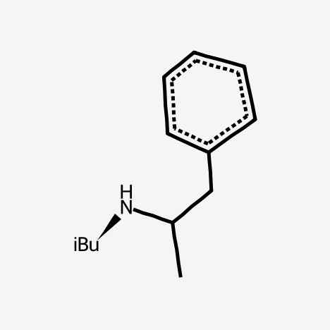 CC[C@H](C)NC(C)Cc1ccccc1